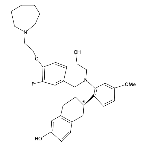 COc1ccc([C@@H]2CCc3cc(O)ccc3C2)c(N(CCO)Cc2ccc(OCCN3CCCCCC3)c(F)c2)c1